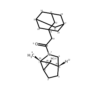 C[C@@]12C3CC[C@@H](CN1C(=O)CC14CC5CC(CC(C5)C1)C4)[C@H]32